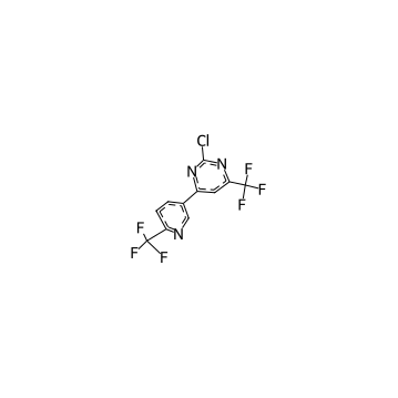 FC(F)(F)c1ccc(-c2cc(C(F)(F)F)nc(Cl)n2)cn1